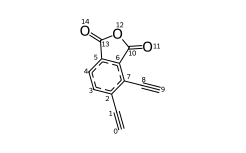 C#Cc1ccc2c(c1C#C)C(=O)OC2=O